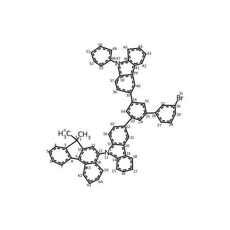 CC1(C)c2ccccc2-c2c1cc(-n1c3ccccc3c3cc(-c4cc(-c5cccc(Br)c5)cc(-c5ccc6c(c5)c5ccccc5n6-c5ccccc5)c4)ccc31)c1ccccc21